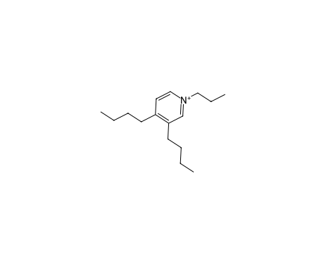 CCCCc1cc[n+](CCC)cc1CCCC